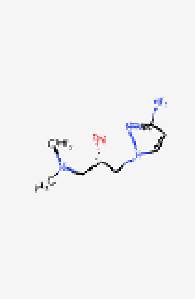 CN(C)C[C@H](O)Cn1ccc(N)n1